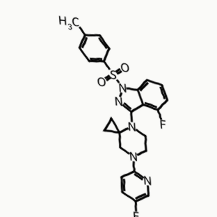 Cc1ccc(S(=O)(=O)n2nc(N3CCN(c4ccc(F)cn4)CC34CC4)c3c(F)cccc32)cc1